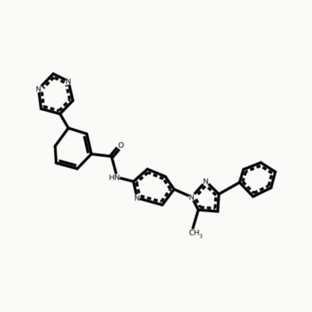 Cc1cc(-c2ccccc2)nn1-c1ccc(NC(=O)C2=CC(c3cncnc3)CC=C2)nc1